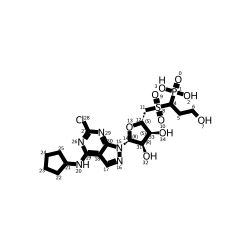 O=P(O)(O)C(CCO)S(=O)(=O)C[C@H]1O[C@@H](n2ncc3c(NC4CCCC4)nc(Cl)nc32)[C@H](O)[C@@H]1O